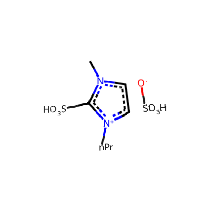 CCC[n+]1ccn(C)c1S(=O)(=O)O.O=S(=O)([O-])O